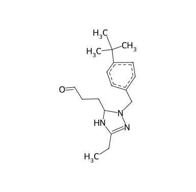 CCC1=NN(Cc2ccc(C(C)(C)C)cc2)C(CCC=O)N1